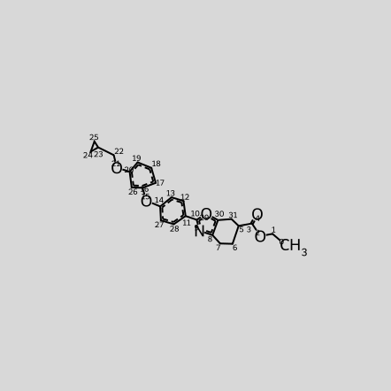 CCOC(=O)C1CCc2nc(-c3ccc(Oc4cccc(OCC5CC5)c4)cc3)oc2C1